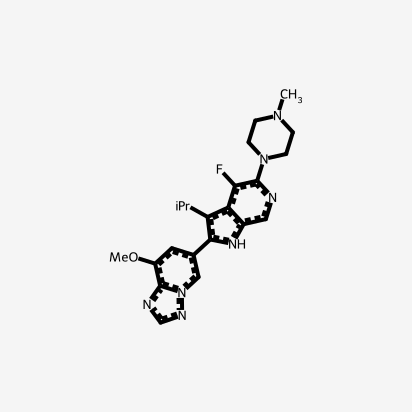 COc1cc(-c2[nH]c3cnc(N4CCN(C)CC4)c(F)c3c2C(C)C)cn2ncnc12